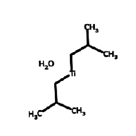 CC(C)[CH2][Ti][CH2]C(C)C.O